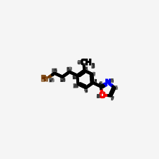 Cc1cc(-c2ncco2)ccc1CCCBr